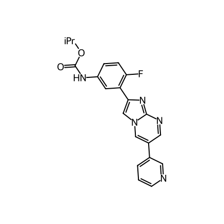 CC(C)OC(=O)Nc1ccc(F)c(-c2cn3cc(-c4cccnc4)cnc3n2)c1